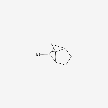 [CH2]CC1CC2CCC1C2(C)C